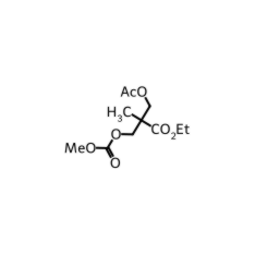 CCOC(=O)C(C)(COC(C)=O)COC(=O)OC